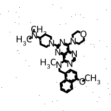 COc1ccc(CN(C)c2ncnc3c(N4CCOCC4)nc(N4CCC(N(C)C)CC4)nc23)c2ccccc12